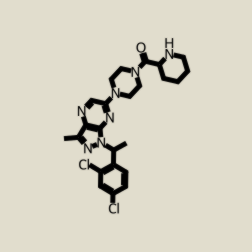 Cc1nn(C(C)c2ccc(Cl)cc2Cl)c2nc(N3CCN(C(=O)C4CCCCN4)CC3)cnc12